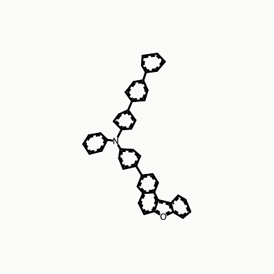 c1ccc(-c2ccc(-c3ccc(N(c4ccccc4)c4ccc(-c5ccc6c(ccc7oc8ccccc8c76)c5)cc4)cc3)cc2)cc1